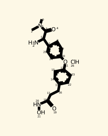 CN(C)C(=O)C(N)c1ccc(Oc2ccc(CCC(=O)NO)cc2)cc1.Cl